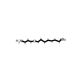 CCC(C)CCCCCCCOCCCN